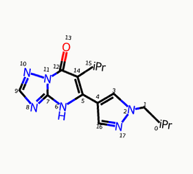 CC(C)Cn1cc(-c2[nH]c3ncnn3c(=O)c2C(C)C)cn1